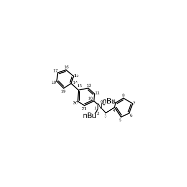 CCCC[N+](CCCC)(Cc1ccccc1)c1ccc(-c2ccccc2)cc1